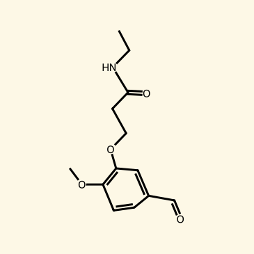 CCNC(=O)CCOc1cc(C=O)ccc1OC